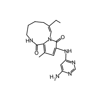 CC/C1=C/n2c(c(C)cc(Nc3cc(N)ncn3)c2=O)C(=O)NCCCC1